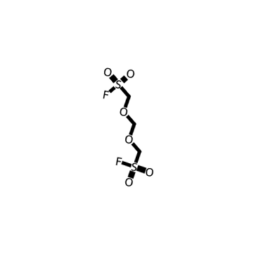 O=S(=O)(F)COCOCS(=O)(=O)F